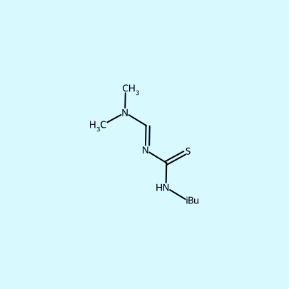 CCC(C)NC(=S)N=CN(C)C